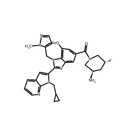 COc1cc(C(=O)N2C[C@H](N)C[C@@H](F)C2)cc2nc(-c3cc4cccnc4n3CC3CC3)n(Cc3ccnn3C)c12